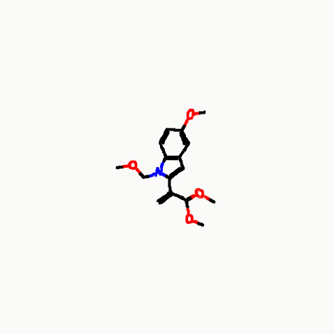 C=C(c1cc2cc(OC)ccc2n1COC)C(OC)OC